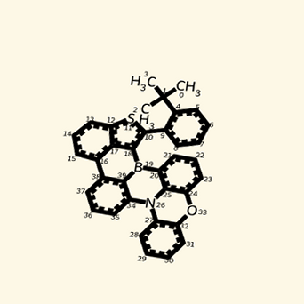 CC(C)(C)c1ccccc1-c1sc2cccc3c2c1B1c2cccc4c2N(c2ccccc2O4)c2cccc-3c21